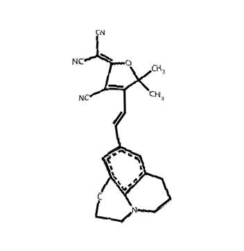 CC1(C)OC(=C(C#N)C#N)C(C#N)=C1C=Cc1cc2c3c(c1)CCCN3CCC2